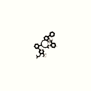 C=C1CC2C(CCc3ccc4c(oc5ccccc54)c3-c3n(C)c4cnccc4[n+]31)c1ccccc1-c1cc(CC(C)C)c([Si](C)(C)C)c[n+]12